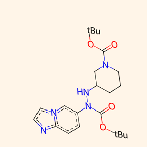 CC(C)(C)OC(=O)N1CCCC(NN(C(=O)OC(C)(C)C)c2ccc3nccn3c2)C1